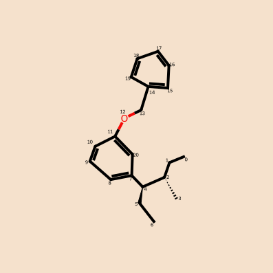 CC[C@H](C)[C@@H](CC)c1cccc(OCc2ccccc2)c1